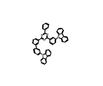 c1ccc(-c2nc(-c3cccc(-c4cccc(-n5c6ccccc6c6ccccc65)c4)c3)nc(-c3cccc(-n4c5ccccc5c5ccccc54)c3)n2)cc1